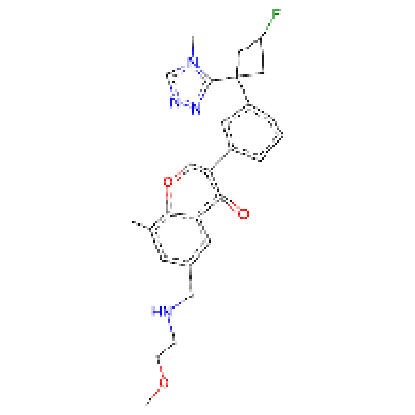 COCCNCc1cc(C)c2occ(-c3cccc(C4(c5nncn5C)CC(F)C4)c3)c(=O)c2c1